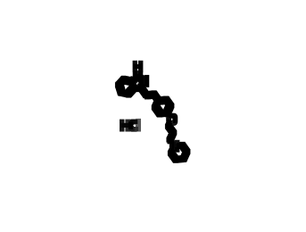 C(=Cc1n[nH]c2ccccc12)c1ccc(OCCCN2CCCCC2)cc1.Cl